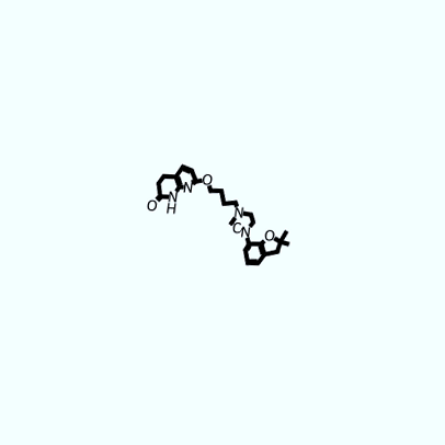 CC1(C)Cc2cccc(N3CCN(CCCCOc4ccc5c(n4)NC(=O)CC5)CC3)c2O1